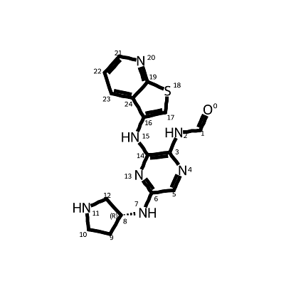 O=CNc1ncc(N[C@@H]2CCNC2)nc1Nc1csc2ncccc12